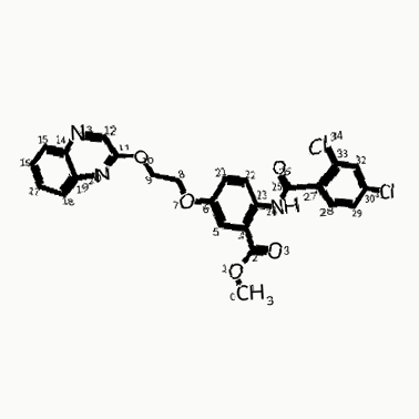 COC(=O)c1cc(OCCOc2cnc3ccccc3n2)ccc1NC(=O)c1ccc(Cl)cc1Cl